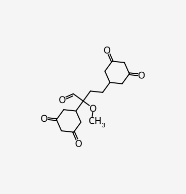 COC(C=O)(CCC1CC(=O)CC(=O)C1)C1CC(=O)CC(=O)C1